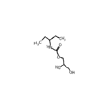 CCC(CC)NC(=O)OCC(O)CO